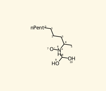 CCCCCCCCC(C)[NH+]([O-])C(O)O